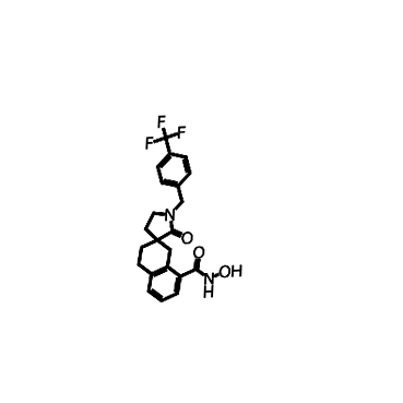 O=C(NO)c1cccc2c1CC1(CC2)CCN(Cc2ccc(C(F)(F)F)cc2)C1=O